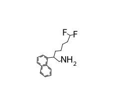 NCC(CCCCC(F)F)c1cccc2ccccc12